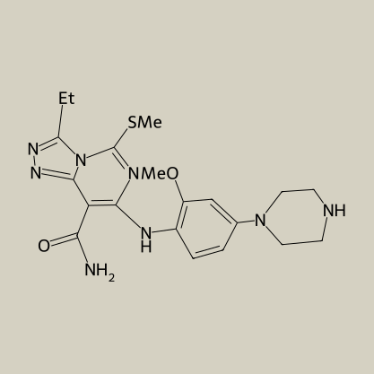 CCc1nnc2c(C(N)=O)c(Nc3ccc(N4CCNCC4)cc3OC)nc(SC)n12